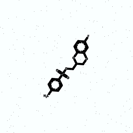 Cc1ccc(S(=O)(=O)OCC2COc3cc(F)ccc3O2)cc1